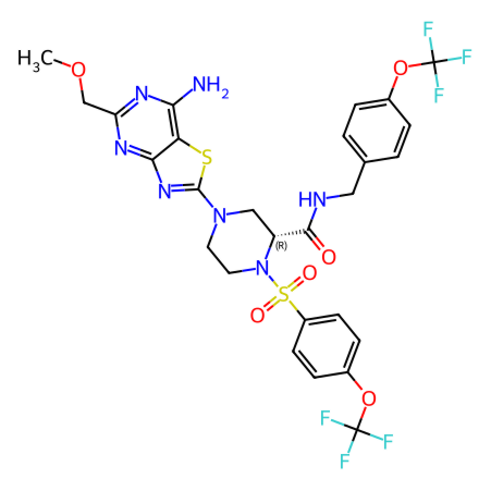 COCc1nc(N)c2sc(N3CCN(S(=O)(=O)c4ccc(OC(F)(F)F)cc4)[C@@H](C(=O)NCc4ccc(OC(F)(F)F)cc4)C3)nc2n1